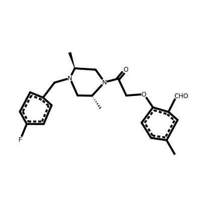 Cc1ccc(OCC(=O)N2C[C@H](C)N(Cc3ccc(F)cc3)C[C@H]2C)c(C=O)c1